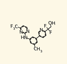 Cc1cc(Nc2nccc(C(F)(F)F)n2)cc(-c2ccc(C(F)(F)CO)nc2)c1